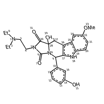 CCN(CC)CCN1C(=O)N2C(c3cccc(O)c3)c3[nH]c4ccc(OC)cc4c3CC2(C)C1=O